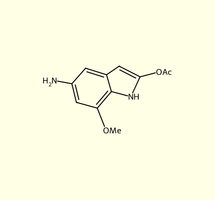 COc1cc(N)cc2cc(OC(C)=O)[nH]c12